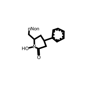 CCCCCCCCCCC1CC(c2ccccc2)CC(=O)N1O